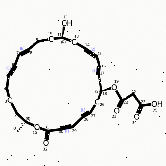 C[C@@H]1CCC/C=C/C=C/CC[C@@H](O)C/C=C\C=C\[C@@H](OC(=O)CC(=O)O)C/C=C/C=C\C(=O)O1